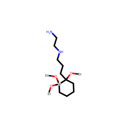 CCOC1(CCCNCCN)CCCC[Si]1(OCC)OCC